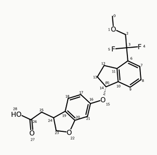 COCC(F)(F)c1cccc2c1CC[C@H]2Oc1ccc2c(c1)OCC2CC(=O)O